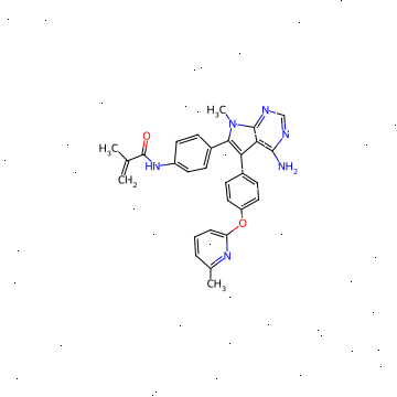 C=C(C)C(=O)Nc1ccc(-c2c(-c3ccc(Oc4cccc(C)n4)cc3)c3c(N)ncnc3n2C)cc1